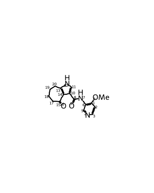 COc1ccncc1NC(=O)c1c[nH]c2c1C(=O)CCCC2